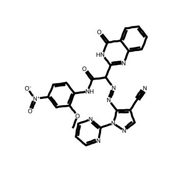 COc1cc([N+](=O)[O-])ccc1NC(=O)C(N=Nc1c(C#N)cnn1-c1ncccn1)c1nc2ccccc2c(=O)[nH]1